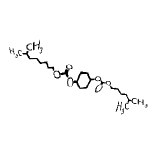 CC(C)CCCCCCOC(=O)OC1CCC(OC(=O)OCCCCC(C)C)CC1